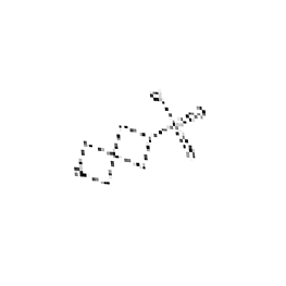 O=S(=O)(Cl)C1CC2(COC2)C1